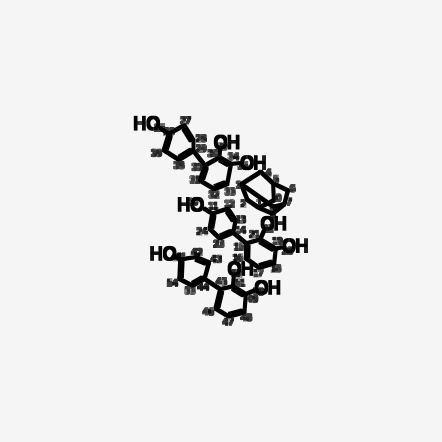 C1C2CC3CC1CC(C2)C3.Oc1ccc(-c2cccc(O)c2O)cc1.Oc1ccc(-c2cccc(O)c2O)cc1.Oc1ccc(-c2cccc(O)c2O)cc1